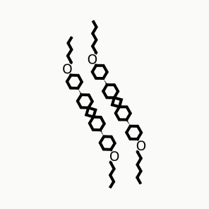 CCCCCCO[C@H]1CC[C@H](C2CCC3(CC2)CC2(CCC([C@H]4CC[C@H](OCCCCCC)CC4)CC2)C3)CC1.CCCCCO[C@H]1CC[C@H](C2CCC3(CC2)CC2(CCC([C@H]4CC[C@H](OCCCCC)CC4)CC2)C3)CC1